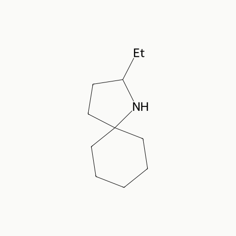 CCC1CCC2(CCCCC2)N1